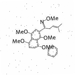 CON=C(CC=C(C)C)c1cc(OC)c2c(OC)ccc(OC)c2c1OC.c1ccccc1